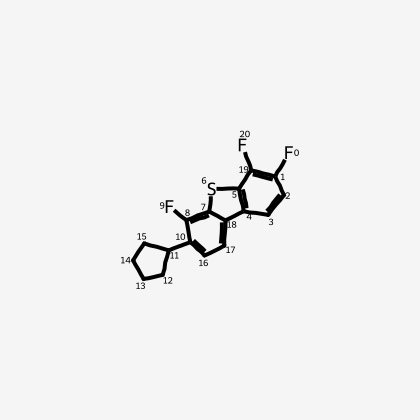 Fc1ccc2c(sc3c(F)c(C4CCCC4)ccc32)c1F